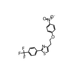 O=[N+]([O-])c1ccc(OCCc2csc(-c3ccc(C(F)(F)F)cc3)n2)cc1